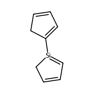 C1=CCC([Si]2=CC=CC2)=C1